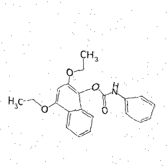 CCOc1cc(OCC)c2ccccc2c1OC(=O)Nc1ccccc1